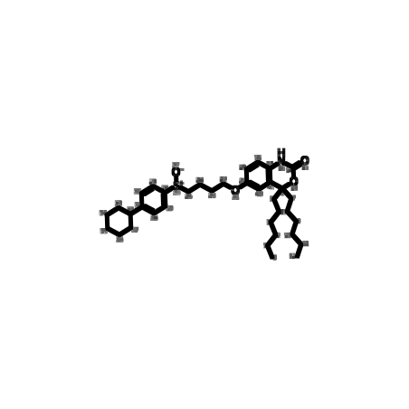 CCCCCCC1(CCCCCC)OC(=O)Nc2ccc(OCCCC[S+]([O-])c3ccc(C4CCCCC4)cc3)cc21